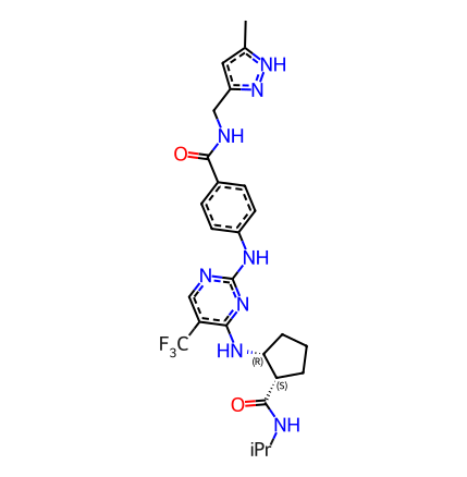 Cc1cc(CNC(=O)c2ccc(Nc3ncc(C(F)(F)F)c(N[C@@H]4CCC[C@@H]4C(=O)NC(C)C)n3)cc2)n[nH]1